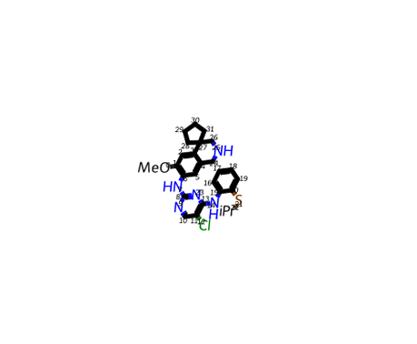 COc1cc2c(cc1Nc1ncc(Cl)c(Nc3ccccc3SC(C)C)n1)CNCC21CCCC1